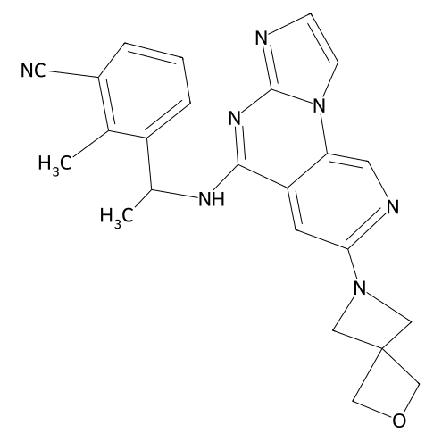 Cc1c(C#N)cccc1C(C)Nc1nc2nccn2c2cnc(N3CC4(COC4)C3)cc12